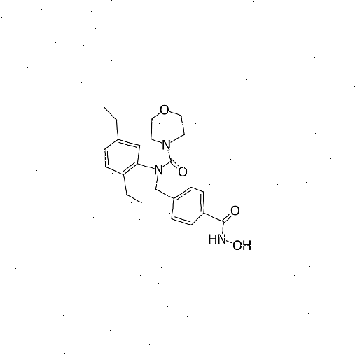 CCc1ccc(CC)c(N(Cc2ccc(C(=O)NO)cc2)C(=O)N2CCOCC2)c1